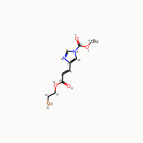 CC(C)(C)OC(=O)n1cnc(/C=C/C(=O)OCCS)c1